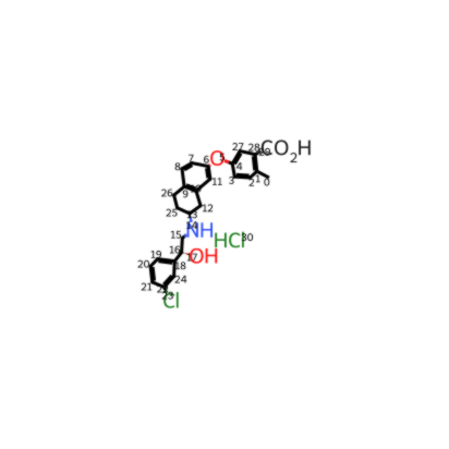 Cc1ccc(Oc2ccc3c(c2)C[C@@H](NC[C@H](O)c2cccc(Cl)c2)CC3)cc1C(=O)O.Cl